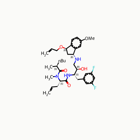 C=CCO[C@@H]1C[C@@H](NC[C@@H](O)[C@H](Cc2cc(F)cc(F)c2)NC(=O)[C@H](CC=C)N(C)C(=O)[C@@H](C)CCCC)c2cc(OC)ccc21